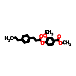 CCCc1ccc(CCC(=O)Oc2ccc(C(=O)OC)cc2OC)cc1